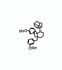 COc1cccc(CC2(Cc3cccc(OC)c3)CCCN(C3C4CC5CC(C4)CC3C5)C2=O)c1